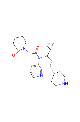 O=C(O)CC(CCC1CCNCC1)N(C(=O)CN1CCCCC1=O)c1cccnc1